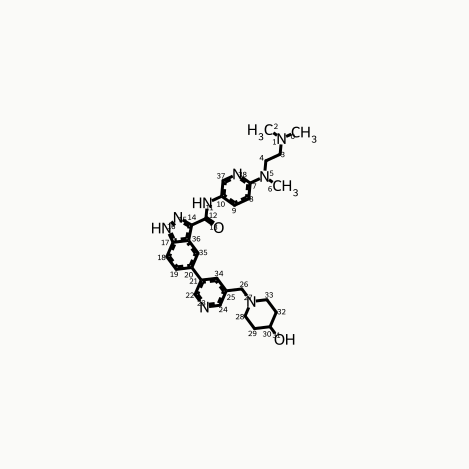 CN(C)CCN(C)c1ccc(NC(=O)c2n[nH]c3ccc(-c4cncc(CN5CCC(O)CC5)c4)cc23)cn1